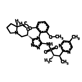 COc1cccc(OC)c1-n1c(NS(=O)(=O)[C@@H](C)[C@H](C)c2ncc(C)cn2)nnc1[C@@H]1CN2CCC[C@@H]2CO1